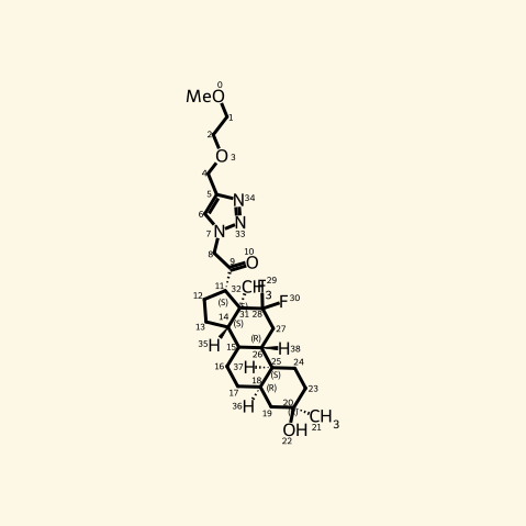 COCCOCc1cn(CC(=O)[C@H]2CC[C@H]3C4CC[C@@H]5C[C@](C)(O)CC[C@@H]5[C@H]4CC(F)(F)[C@]23C)nn1